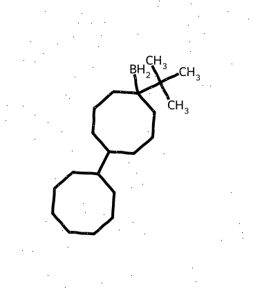 BC1(C(C)(C)C)CCCC(C2CCCCCCC2)CCC1